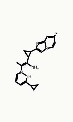 C/C(=C(/N)C1CC1c1cn2ccc(F)cc2n1)N1C=CC=C(C2CC2)N1